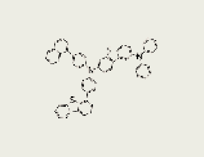 c1ccc(N(c2ccccc2)c2ccc3sc4cc(N(c5ccc(-c6cccc7ccccc67)cc5)c5ccc(-c6cccc7c6sc6ccccc67)cc5)ccc4c3c2)cc1